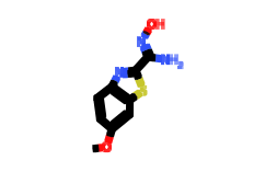 COc1ccc2nc(/C(N)=N/O)sc2c1